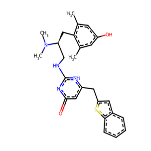 Cc1cc(O)cc(C)c1C[C@@H](CNc1nc(=O)cc(Cc2cc3ccccc3s2)[nH]1)N(C)C